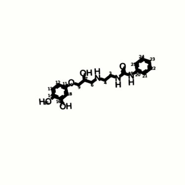 O=C(NCCNCC(O)COc1ccc(O)c(O)c1)Nc1ccccc1